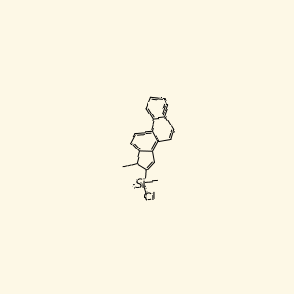 CC1C([Si](C)(C)Cl)=Cc2c1ccc1c2ccc2ccccc21